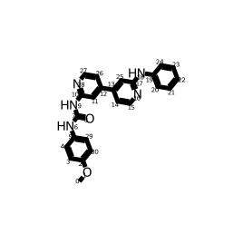 COc1ccc(NC(=O)Nc2cc(-c3ccnc(Nc4ccccc4)c3)ccn2)cc1